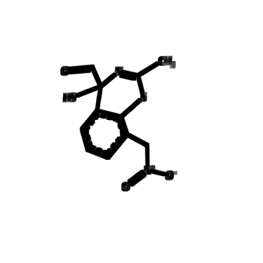 CC1=NC(S)(C=O)c2cccc(C[N+](=O)[O-])c2S1